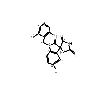 O=C1NC(=O)C2(N1)C(=O)N(Cc1c(F)cccc1Cl)c1ccc(F)cc12